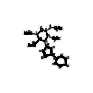 CS[C@@H]1O[C@H](COC(C)=O)[C@H](OC(C)=O)[C@H](n2cc(-c3ccccc3)nn2)[C@H]1OC(C)=O